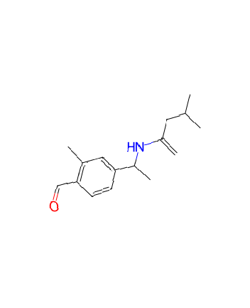 C=C(CC(C)C)NC(C)c1ccc(C=O)c(C)c1